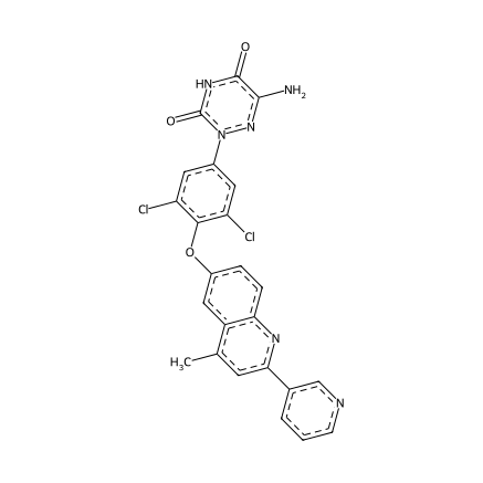 Cc1cc(-c2cccnc2)nc2ccc(Oc3c(Cl)cc(-n4nc(N)c(=O)[nH]c4=O)cc3Cl)cc12